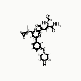 NC(=O)/C(=C/c1cnn2c(NC3CC3)cc(-c3cccc(CN4CCNCC4)c3)nc12)NC=O